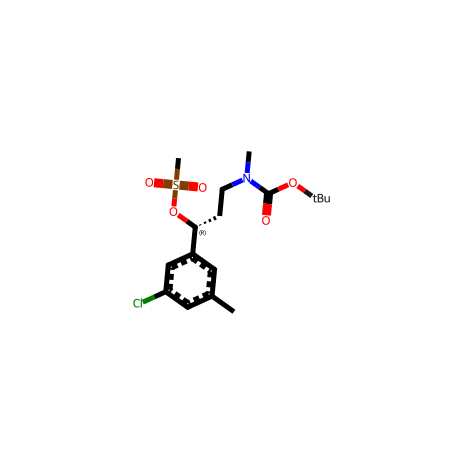 Cc1cc(Cl)cc([C@@H](CCN(C)C(=O)OC(C)(C)C)OS(C)(=O)=O)c1